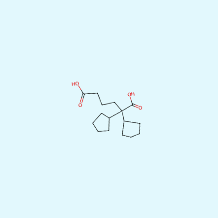 O=C(O)CCCC(C(=O)O)(C1CCCC1)C1CCCC1